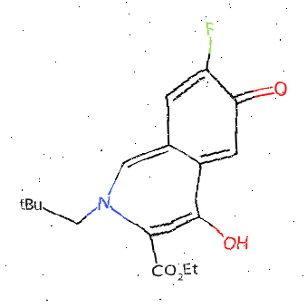 CCOC(=O)c1c(O)c2cc(=O)c(F)cc-2cn1CC(C)(C)C